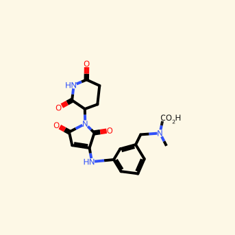 CN(Cc1cccc(NC2=CC(=O)N(C3CCC(=O)NC3=O)C2=O)c1)C(=O)O